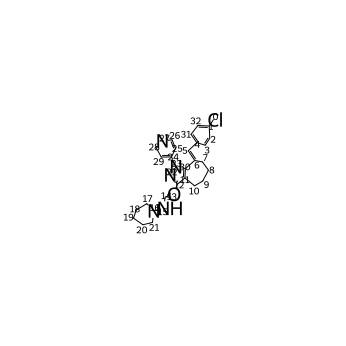 Clc1ccc(/C=C2\CCCCc3c(OCNN4CCCCC4)nn(-c4ccncc4)c32)cc1